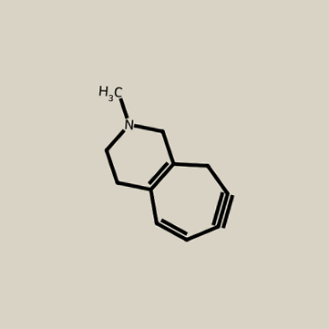 CN1CCC2=C(CC#CC=C2)C1